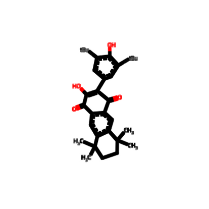 CC(C)(C)c1cc(C2=C(O)C(=O)c3cc4c(cc3C2=O)C(C)(C)CCC4(C)C)cc(C(C)(C)C)c1O